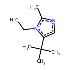 CCn1c(C(C)(C)C)cnc1C